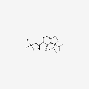 CC(C)C1(C(C)C)CCc2ccc(NCC(F)(F)F)c(=O)n21